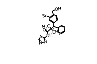 CC(C)(C(=O)Nc1nncs1)[C@H](c1ccccc1)c1ccc(CO)c(Br)c1